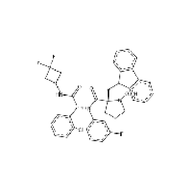 O=C(NC1CC(F)(F)C1)[C@@H](c1ccccc1Cl)N(C(=O)[C@@]1(CC2c3ccccc3-c3ccccc32)CCCN1C(=O)O)c1cccc(F)c1